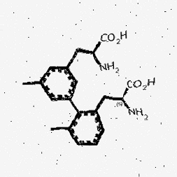 Cc1cc(CC(N)C(=O)O)cc(-c2c(C)cccc2C[C@H](N)C(=O)O)c1